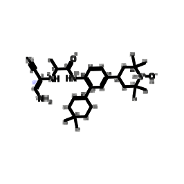 CC(N/C(C#N)=C\N)C(=O)Nc1ccc(C2CC(C)(C)[S+]([O-])C(C)(C)C2)cc1C1=CCC(C)(C)CC1